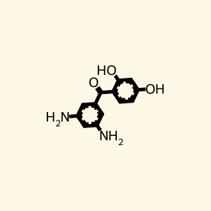 Nc1cc(N)cc(C(=O)c2ccc(O)cc2O)c1